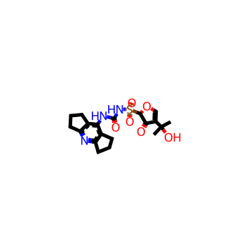 CC(C)(O)C1=COC(S(=O)(=O)NC(=O)Nc2c3c(nc4c2CCC4)CCC3)C1=O